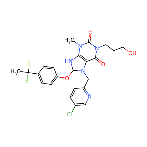 Cn1c2c(c(=O)n(CCCO)c1=O)N(Cc1ccc(Cl)cn1)C(Oc1ccc(C(C)(F)F)cc1)N2